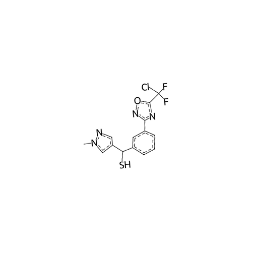 Cn1cc(C(S)c2cccc(-c3noc(C(F)(F)Cl)n3)c2)cn1